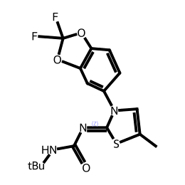 Cc1cn(-c2ccc3c(c2)OC(F)(F)O3)/c(=N/C(=O)NC(C)(C)C)s1